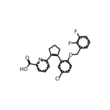 O=C(O)c1cccc(C2=C(c3cc(Cl)ccc3OCc3cccc(F)c3F)CCC2)n1